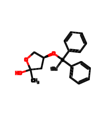 CC1(O)C[C@H](O[Si](c2ccccc2)(c2ccccc2)C(C)(C)C)CO1